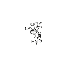 CNC(=O)c1ccc(NCC2(c3ccc(Cl)c(Cl)c3)CCC2)nn1